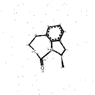 C[C@@H]1Cc2cccc3c2N1C(=O)CCC3